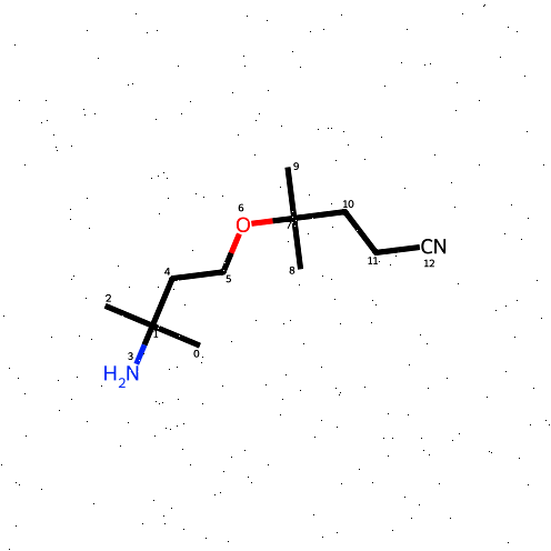 CC(C)(N)CCOC(C)(C)CCC#N